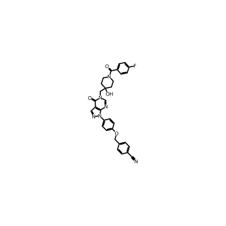 N#Cc1ccc(COc2ccc(-n3ncc4c(=O)n(CC5(O)CCN(C(=O)c6ccc(F)cc6)CC5)cnc43)cc2)cc1